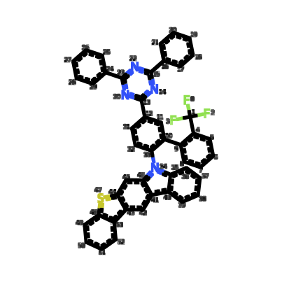 FC(F)(F)c1ccccc1-c1cc(-c2nc(-c3ccccc3)nc(-c3ccccc3)n2)ccc1-n1c2ccccc2c2cc3c(cc21)sc1ccccc13